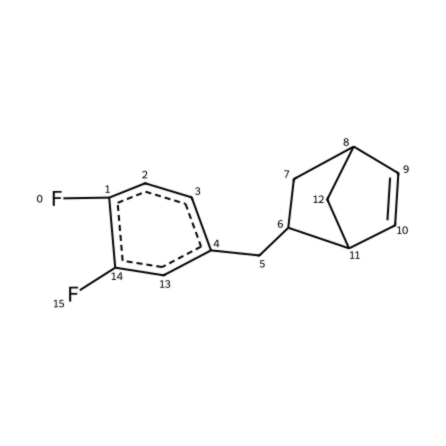 Fc1ccc(CC2CC3C=CC2C3)cc1F